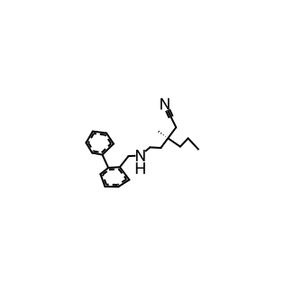 CCC[C@](C)(CC#N)CCNCc1ccccc1-c1ccccc1